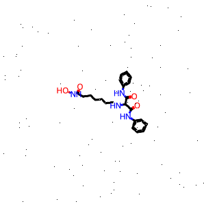 O=C(CCCCCCNC(C(=O)Nc1ccccc1)C(=O)Nc1ccccc1)NO